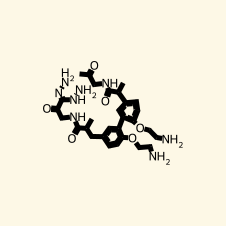 CC(=O)CNC(=O)C(C)c1ccc(OCCN)c(-c2cc(CC(C)C(=O)NCC(=O)/C(=N/N)NN)ccc2OCCN)c1